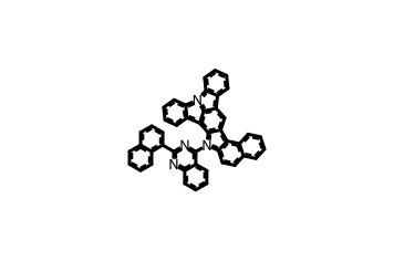 c1ccc2c(-c3nc(-n4c5ccc6ccccc6c5c5cc6c7ccccc7n7c8ccccc8c(c54)c67)c4ccccc4n3)cccc2c1